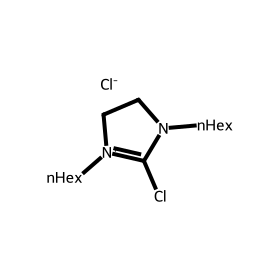 CCCCCCN1CC[N+](CCCCCC)=C1Cl.[Cl-]